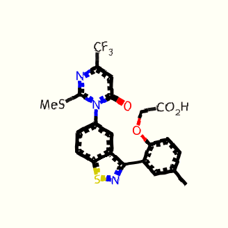 CSc1nc(C(F)(F)F)cc(=O)n1-c1ccc2snc(-c3cc(C)ccc3OCC(=O)O)c2c1